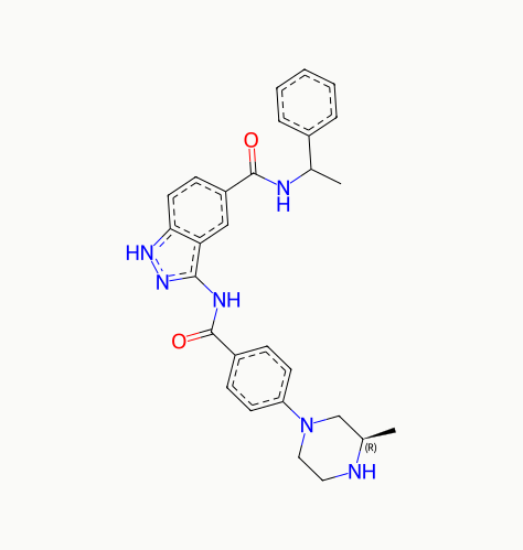 CC(NC(=O)c1ccc2[nH]nc(NC(=O)c3ccc(N4CCN[C@H](C)C4)cc3)c2c1)c1ccccc1